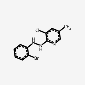 FC(F)(F)c1cnc(NNc2ccccc2Br)c(Cl)c1